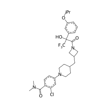 CC(C)Oc1cccc(C(O)(C(=O)N2CC(CC3CCN(c4ccc(C(=O)N(C)C)c(Cl)c4)CC3)C2)C(F)(F)F)c1